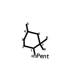 CCCCCC1CCC(C)CC1(C)C